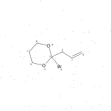 C=CCC1(Br)OCCCO1